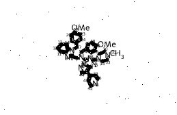 COc1ccc(CN(Cc2nc3ccccc3n2Cc2ccc(OC)cc2)c2nc(N3CCN(C)CC3)nc3c(-c4ccncc4)cnn23)cc1